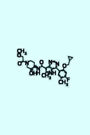 COCC(=O)N1CC[C@@H](NC(=O)c2c(C)[nH]c3c(-c4cc(C)c(F)cc4OCC4CC4)ncnc23)[C@@H](O)C1